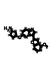 COc1nccc2oc(-c3cnc4ccc(O[C@@H]5CCC(N)C5)nn34)cc12